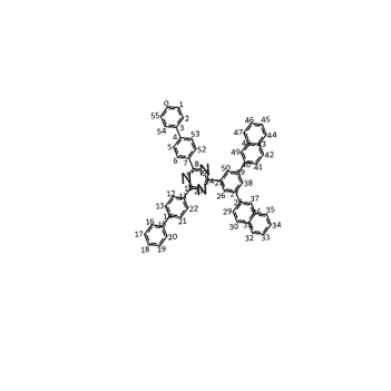 c1ccc(-c2ccc(-c3nc(-c4ccc(-c5ccccc5)cc4)nc(-c4cc(-c5ccc6ccccc6c5)cc(-c5ccc6ccccc6c5)c4)n3)cc2)cc1